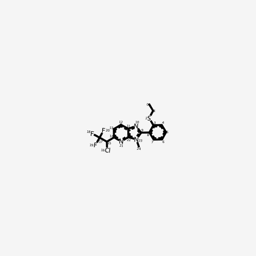 CCSc1ccccc1-c1nc2ccc(C(Cl)C(F)(F)F)nc2n1C